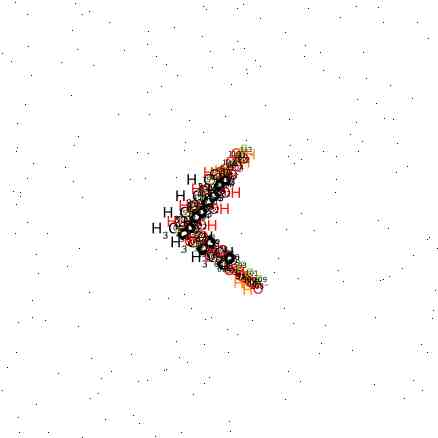 C[S+](C)c1ccc(O)c2cccc(O)c12.C[S+](C)c1ccc(O)c2cccc(O)c12.C[S+](C)c1ccc(O)c2cccc(O)c12.C[S+](C)c1ccc(O)c2cccc(O)c12.C[S+](C)c1ccc(O)c2cccc(O)c12.C[S+](C)c1ccc(O)c2cccc(O)c12.O=[PH]([O-])F.O=[PH]([O-])F.O=[PH]([O-])F.O=[PH]([O-])F.O=[PH]([O-])F.O=[PH]([O-])F